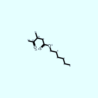 CCCCCCOC(=S)CC(C)C(C)=O